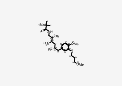 CCCCC(C)(C)C(=O)NC[C@@H](O)[C@H](N)C[C@H](Cc1ccc(OC)c(OCCCOC)c1)C(C)C